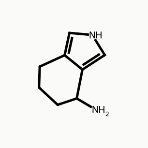 NC1CCCc2c[nH]cc21